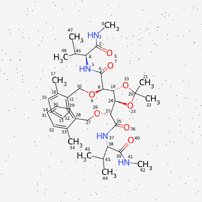 CNC(=O)[C@@H](NC(=O)[C@H](OCc1ccccc1C)[C@@H]1OC(C)(C)O[C@H]1[C@@H](OCc1ccccc1C)C(=O)N[C@H](C(=O)NC)C(C)C)C(C)C